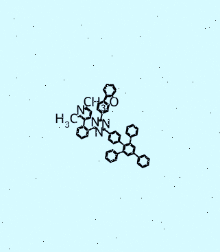 Cc1ccc(-c2ccccc2-c2nc(-c3ccc(-c4c(-c5ccccc5)cc(-c5ccccc5)cc4-c4ccccc4)cc3)nc(-c3ccc4c(c3)oc3ccccc34)n2)c(C)n1